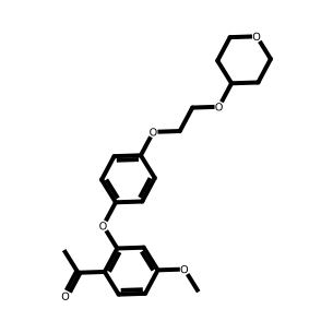 COc1ccc(C(C)=O)c(Oc2ccc(OCCOC3CCOCC3)cc2)c1